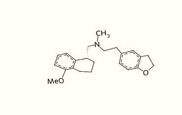 COc1cccc2c1CCC[C@H]2CN(C)CCc1ccc2c(c1)CCO2